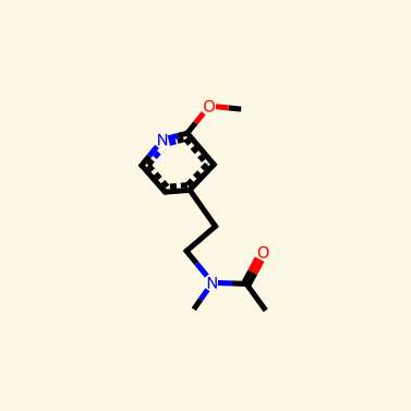 COc1cc(CCN(C)C(C)=O)ccn1